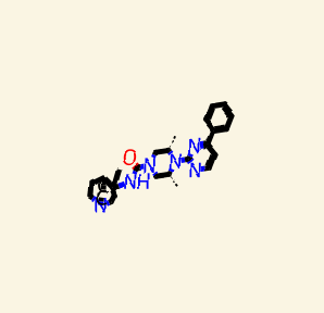 C[C@@H]1CN(C(=O)NC2(C)CCN3CCC2CC3)C[C@H](C)N1c1nccc(-c2ccccc2)n1